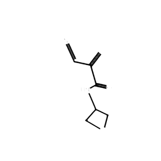 C=C(C=N)C(=O)NC1COC1